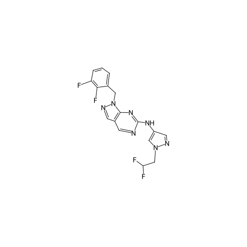 Fc1cccc(Cn2ncc3cnc(Nc4cnn(CC(F)F)c4)nc32)c1F